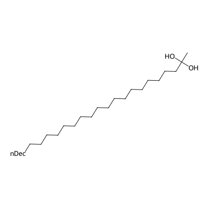 CCCCCCCCCCCCCCCCCCCCCCCCCCCCC(C)(O)O